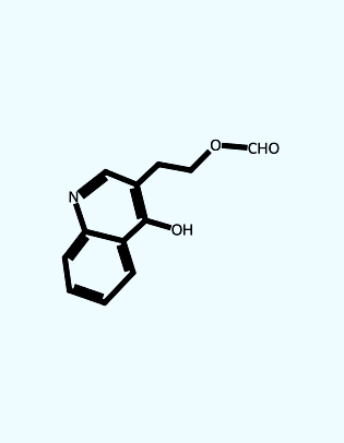 O=COCCc1cnc2ccccc2c1O